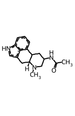 CC(=O)NC1CC2c3cccc4[nH]cc(c34)C[C@H]2N(C)C1